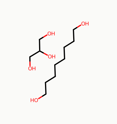 OCC(O)CO.OCCCCCCCCO